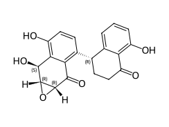 O=C1CC[C@H](c2ccc(O)c3c2C(=O)[C@@H]2O[C@@H]2[C@H]3O)c2cccc(O)c21